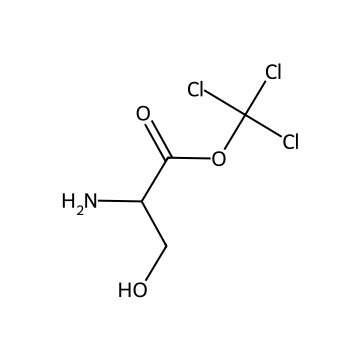 NC(CO)C(=O)OC(Cl)(Cl)Cl